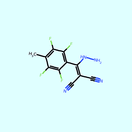 Cc1c(F)c(F)c(C(NN)=C(C#N)C#N)c(F)c1F